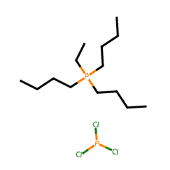 CCCC[P](CC)(CCCC)CCCC.ClP(Cl)Cl